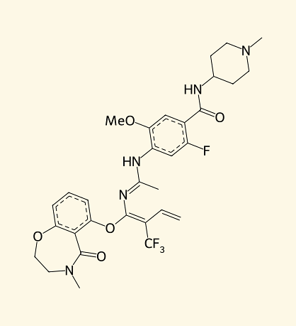 C=C/C(=C(\N=C(/C)Nc1cc(F)c(C(=O)NC2CCN(C)CC2)cc1OC)Oc1cccc2c1C(=O)N(C)CCO2)C(F)(F)F